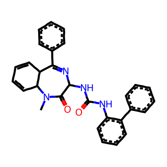 CN1C(=O)C(NC(=O)Nc2ccccc2-c2ccccc2)N=C(c2ccccc2)C2C=CC=CC21